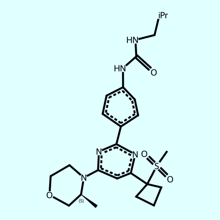 CC(C)CNC(=O)Nc1ccc(-c2nc(N3CCOC[C@@H]3C)cc(C3(S(C)(=O)=O)CCC3)n2)cc1